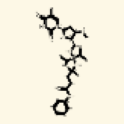 COC1C[C@H](n2cc(C)c(=O)[nH]c2=O)O[C@@H]1CO[Si](OC(C)(C)CCC(=O)Oc1ccccc1)(C(C)C)C(C)C